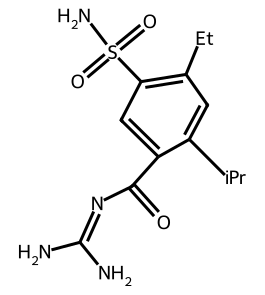 CCc1cc(C(C)C)c(C(=O)N=C(N)N)cc1S(N)(=O)=O